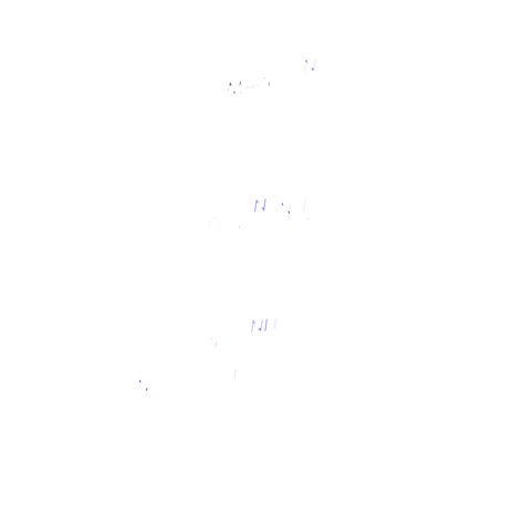 COc1ncccc1-c1cccc(N(N)C(=O)c2ccc(NC(=O)OCCN(C)C)cc2)c1